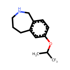 CC(Oc1ccc2c(c1)CCCNC2)C(F)(F)F